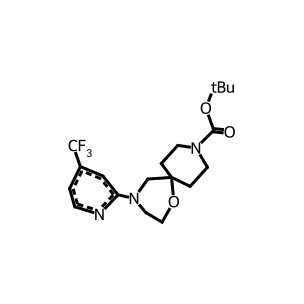 CC(C)(C)OC(=O)N1CCC2(CC1)CN(c1cc(C(F)(F)F)ccn1)CCO2